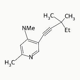 CCC(C)(C)C#Cc1cnc(C)cc1NC